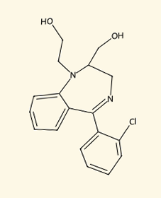 OCCN1c2ccccc2C(c2ccccc2Cl)=NCC1CO